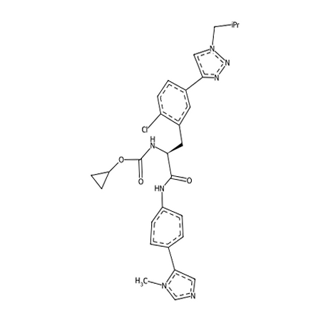 CC(C)Cn1cc(-c2ccc(Cl)c(C[C@H](NC(=O)OC3CC3)C(=O)Nc3ccc(-c4cncn4C)cc3)c2)nn1